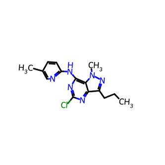 CCCc1nn(C)c2c(Nc3ccc(C)cn3)nc(Cl)nc12